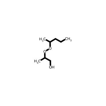 CCCC(C)OOC(C)CO